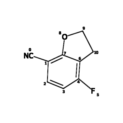 N#Cc1ccc(F)c2c1OCC2